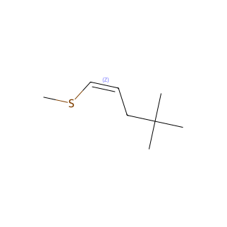 CS/C=C\CC(C)(C)C